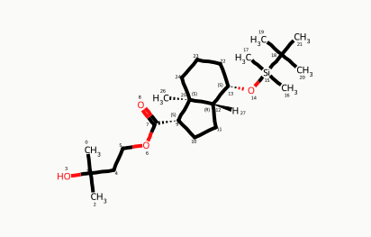 CC(C)(O)CCOC(=O)[C@H]1CC[C@H]2[C@@H](O[Si](C)(C)C(C)(C)C)CCC[C@]12C